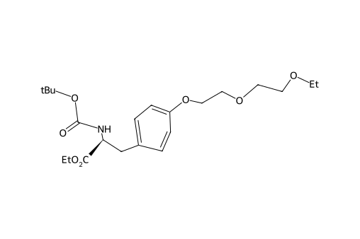 CCOCCOCCOc1ccc(C[C@H](NC(=O)OC(C)(C)C)C(=O)OCC)cc1